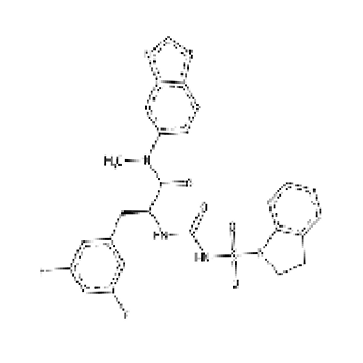 CN(C(=O)[C@H](Cc1cc(F)cc(F)c1)NC(=O)NS(=O)(=O)N1CCc2ccccc21)c1ccc2scnc2c1